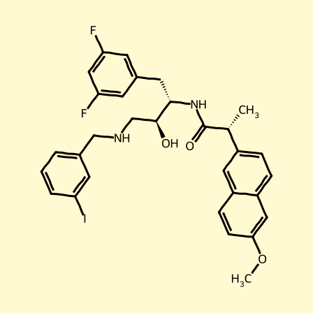 COc1ccc2cc([C@@H](C)C(=O)N[C@@H](Cc3cc(F)cc(F)c3)[C@@H](O)CNCc3cccc(I)c3)ccc2c1